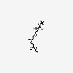 CCOC(=O)CCN(C)CCOCCNC(=O)OC(C)(C)C